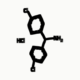 Cl.NC(c1ccc(Cl)cc1)c1ccc(Cl)cc1